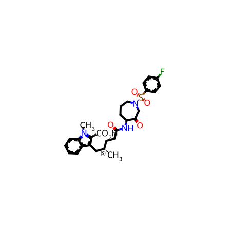 C[C@@H](CCC(=O)NC1CCCN(S(=O)(=O)c2ccc(F)cc2)CC1=O)Cc1c(C(=O)O)n(C)c2ccccc12